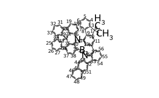 CC1(C)c2ccccc2-c2c1cc1c3c2N2c4ccccc4C(c4ccccc4)(c4ccccc4)c4cccc(c42)B3n2c3cc4ccccc4cc3c3cccc-1c32